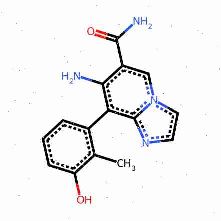 Cc1c(O)cccc1-c1c(N)c(C(N)=O)cn2ccnc12